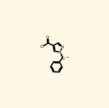 C[C@H](c1ccccc1)n1cc(C(=O)Cl)cn1